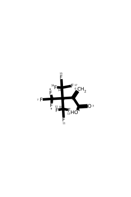 C=C(C(=O)O)C(C(F)(F)F)(C(F)(F)F)C(F)(F)F